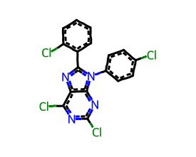 Clc1ccc(-n2c(-c3ccccc3Cl)nc3c(Cl)nc(Cl)nc32)cc1